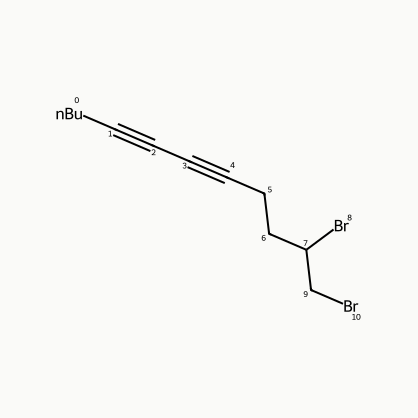 CCCCC#CC#CCCC(Br)CBr